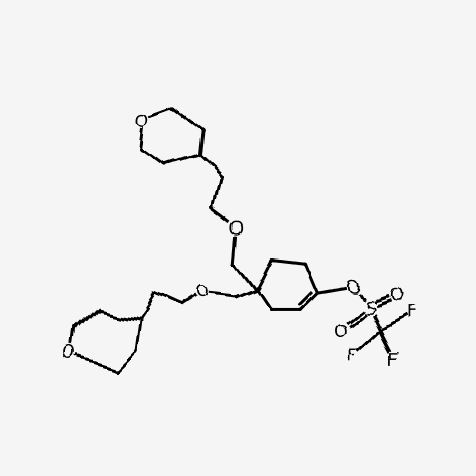 O=S(=O)(OC1=CCC(COCCC2CCOCC2)(COCCC2CCOCC2)CC1)C(F)(F)F